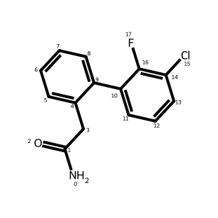 NC(=O)Cc1ccccc1-c1cccc(Cl)c1F